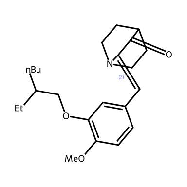 CCCCC(CC)COc1cc(/C=C2/C(=O)C3CCN2CC3)ccc1OC